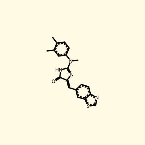 Cc1ccc(N(C)C2=N/C(=C\c3ccc4ncsc4c3)C(=O)N2)cc1C